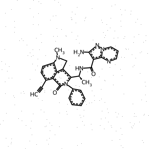 C#Cc1ccc2c3c(c([C@H](C)NC(=O)c4c(N)nn5cccnc45)n(-c4ccccc4)c(=O)c13)CN2C